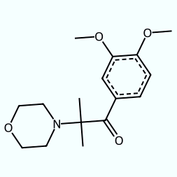 COc1ccc(C(=O)C(C)(C)N2CCOCC2)cc1OC